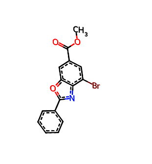 COC(=O)c1cc(Br)c2nc(-c3ccccc3)oc2c1